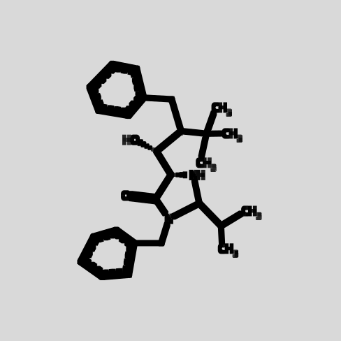 CC(C)C1N[C@@H]([C@H](O)[C](Cc2ccccc2)C(C)(C)C)C(=O)N1Cc1ccccc1